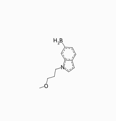 Bc1ccc2ccn(CCCOC)c2c1